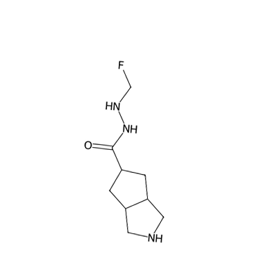 O=C(NNCF)C1CC2CNCC2C1